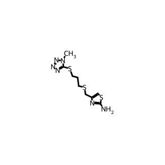 Cn1nnnc1SCCCSCc1csc(N)n1